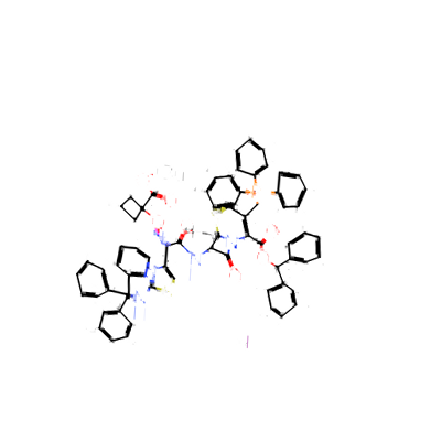 CC(C)(C)OC(=O)C1(O/N=C(\C(=O)NC2C(=O)N3C(C(=O)OC(c4ccccc4)c4ccccc4)=C(C[P+](c4ccccc4)(c4ccccc4)c4ccccc4)CS[C@@H]23)c2csc(NC(c3ccccc3)(c3ccccc3)c3ccccc3)n2)CCC1.[I-]